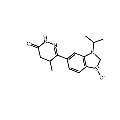 CC1CC(=O)NN=C1c1ccc2c(c1)N(C(C)C)C[S+]2[O-]